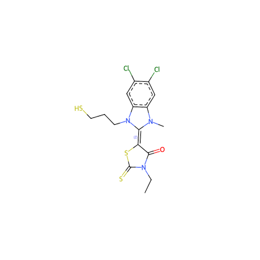 CCN1C(=O)/C(=C2\N(C)c3cc(Cl)c(Cl)cc3N2CCCS)SC1=S